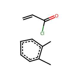 C=CC(=O)Cl.Cc1ccccc1C